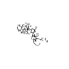 C=C1/C=C2/C(=O)N(c3cc(F)cc(B4OC(C)(C)C(C)(C)O4)c3COC(C)=O)CCN2CCCCC1